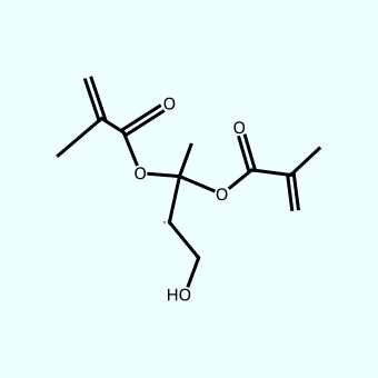 C=C(C)C(=O)OC(C)([CH]CO)OC(=O)C(=C)C